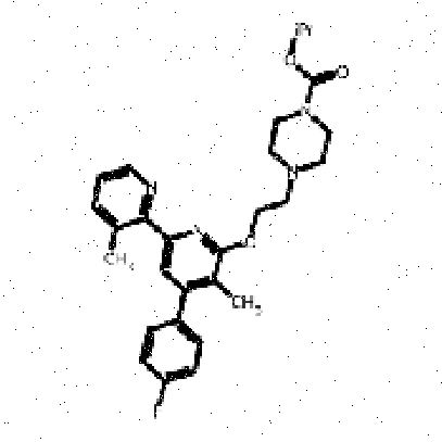 Cc1cccnc1-c1cc(-c2ccc(F)cc2)c(C)c(OCCN2CCN(C(=O)OC(C)C)CC2)n1